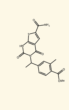 COC(=O)c1ccc(C(C)n2c(=O)[nH]c3sc(C(N)=O)cc3c2=O)cc1C